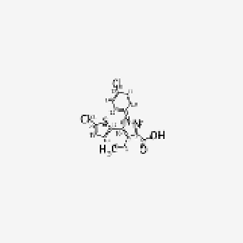 CCc1c(C(=O)O)nn(-c2ccc(Cl)cc2)c1-c1ccc(Cl)s1